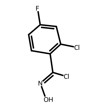 ON=C(Cl)c1ccc(F)cc1Cl